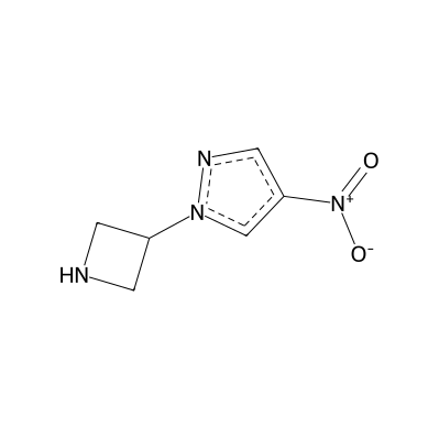 O=[N+]([O-])c1cnn(C2CNC2)c1